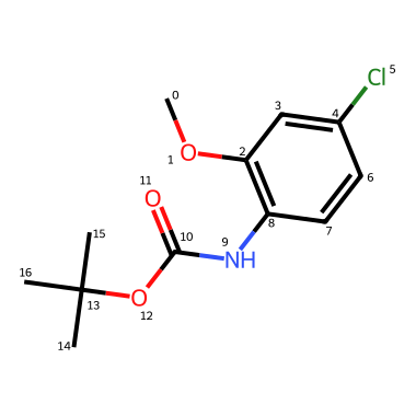 COc1cc(Cl)ccc1NC(=O)OC(C)(C)C